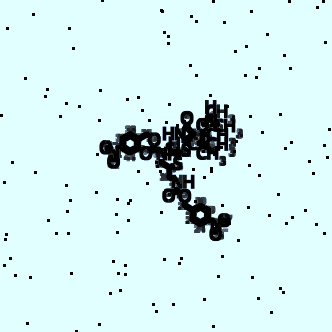 C[SiH](C)OC(C)([C@H]1C(=O)N[C@@H]1SC(=S)SC(CNC(=O)OCc1ccc([N+](=O)[O-])cc1)CNC(=O)OCc1ccc([N+](=O)[O-])cc1)C(C)(C)C